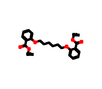 CC(=O)OOC(=O)c1ccccc1OCCCCCCOc1ccccc1C(=O)OOC(C)=O